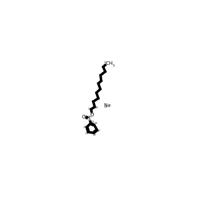 CCCCCCCCCCCCOS(=O)c1ccccc1.[Na]